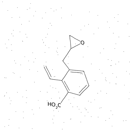 C=Cc1c(CC2CO2)cccc1C(=O)O